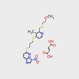 COCCSCc1nccc(SCCCSc2ccc3ncc([N+](=O)[O-])n3n2)c1C.O=C(O)C=CC(=O)O